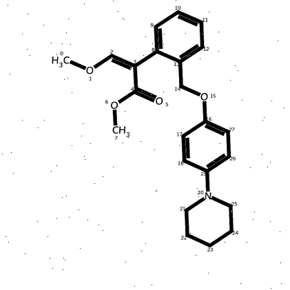 COC=C(C(=O)OC)c1ccccc1COc1ccc(N2CCCCC2)cc1